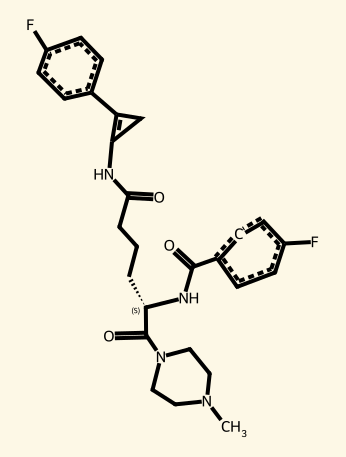 CN1CCN(C(=O)[C@H](CCCC(=O)NC2=C(c3ccc(F)cc3)C2)NC(=O)c2ccc(F)cc2)CC1